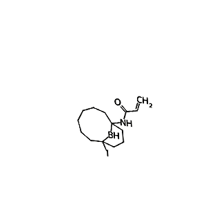 C=CC(=O)NC12BC(I)(CCCCCC1)CCC2